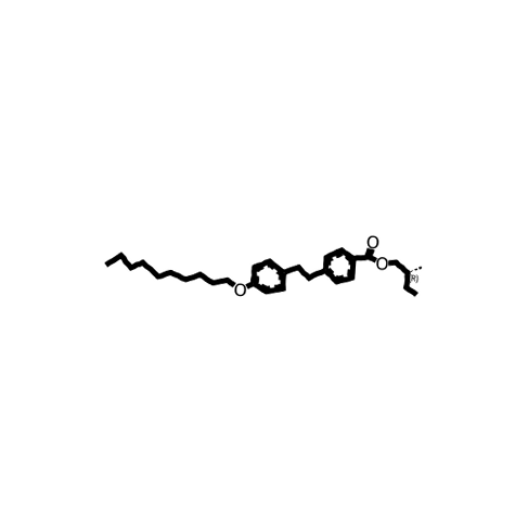 CCCCCCCCCCOc1ccc(CCc2ccc(C(=O)OC[C@H](C)CC)cc2)cc1